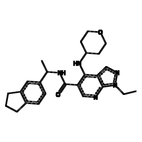 CCn1ncc2c(NC3CCOCC3)c(C(=O)NC(C)c3ccc4c(c3)CCC4)cnc21